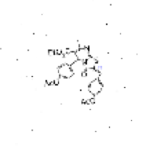 CCOC(=O)C1=C(C)N=c2s/c(=C/c3ccc(OC(C)=O)cc3)c(=O)n2C1c1ccc(OC(C)=O)cc1